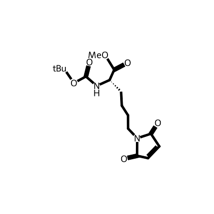 COC(=O)[C@H](CCCCN1C(=O)C=CC1=O)NC(=O)OC(C)(C)C